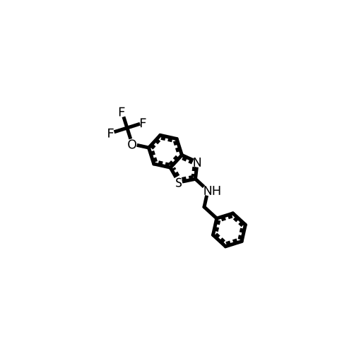 FC(F)(F)Oc1ccc2nc(NCc3ccccc3)sc2c1